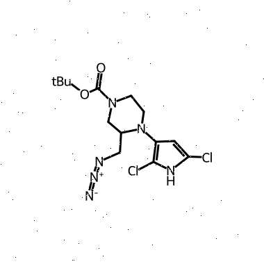 CC(C)(C)OC(=O)N1CCN(c2cc(Cl)[nH]c2Cl)C(CN=[N+]=[N-])C1